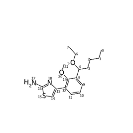 CCCCC(OCC)c1cccc(-c2csc(N)n2)c1OC